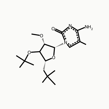 CO[C@H]1C(OC(C)(C)C)[C@@H](CC(C)(C)C)O[C@H]1n1cc(C)c(N)nc1=O